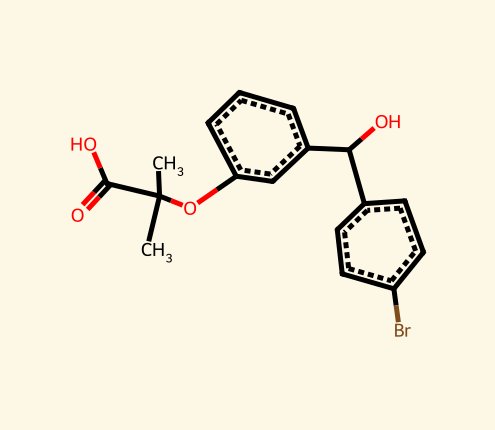 CC(C)(Oc1cccc(C(O)c2ccc(Br)cc2)c1)C(=O)O